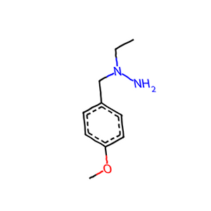 CCN(N)Cc1ccc(OC)cc1